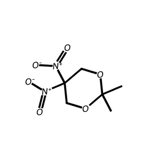 CC1(C)OCC([N+](=O)[O-])([N+](=O)[O-])CO1